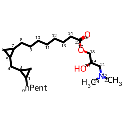 CCCCCC1CC1CC1CC1CCCCCCCC(=O)OCC(O)CN(C)C